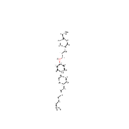 CCCCCCC[C@H]1CC[C@H](c2ccc(OCCC[C@H]3CC[C@H](CC)CC3)cc2)CC1